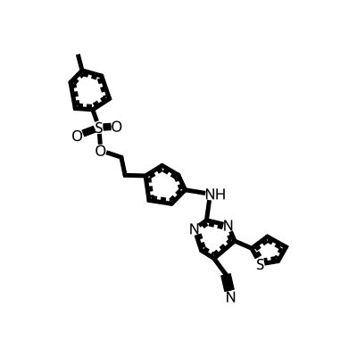 Cc1ccc(S(=O)(=O)OCCc2ccc(Nc3ncc(C#N)c(-c4cccs4)n3)cc2)cc1